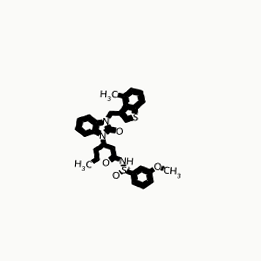 CCCC(CC(=O)N[S+]([O-])c1cccc(OC)c1)n1c(=O)n(Cc2csc3cccc(C)c23)c2ccccc21